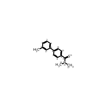 Cc1cccc(-c2ccc(C(=S)N(C)C)cc2)c1